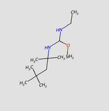 CCNC(NC(C)(C)CC(C)(C)C)O[SiH3]